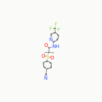 CC(C)(C(=O)Nc1ccc(C(F)(F)F)cn1)S(=O)(=O)c1ccc(C#N)cc1